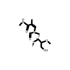 CNC(=O)/C(C)=C\N(C=O)C[C@@H](SF)C(CO)OC